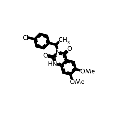 COc1cc2[nH]c(=O)n(C(C)c3ccc(Cl)cc3)c(=O)c2cc1OC